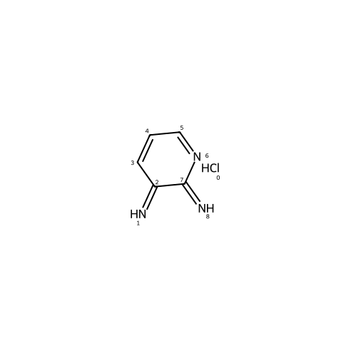 Cl.N=C1C=CC=NC1=N